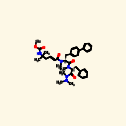 CN(C(=O)C=CCC(C)(C)NC(=O)OC(C)(C)C)[C@H](Cc1ccc(-c2ccccc2)cc1)C(=O)N(C)[C@H](Cc1ccccc1)C(=O)N(C)N(C)C